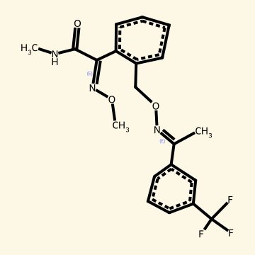 CNC(=O)/C(=N/OC)c1ccccc1CO/N=C(\C)c1cccc(C(F)(F)F)c1